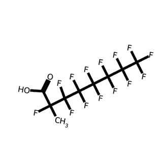 CC(F)(C(=O)O)C(F)(F)C(F)(F)C(F)(F)C(F)(F)C(F)(F)C(F)(F)F